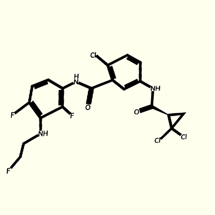 O=C(Nc1ccc(F)c(NCCF)c1F)c1cc(NC(=O)[C@H]2CC2(Cl)Cl)ccc1Cl